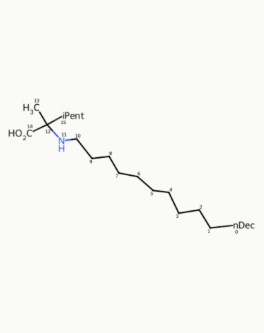 CCCCCCCCCCCCCCCCCCCCNC(C)(C(=O)O)C(C)CCC